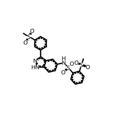 CS(=O)(=O)c1cccc(-c2n[nH]c3ccc(NS(=O)(=O)c4ccccc4S(C)(=O)=O)cc23)c1